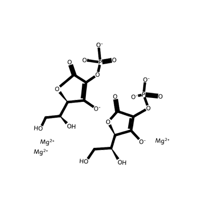 O=C1O[C@H]([C@@H](O)CO)C([O-])=C1OP(=O)([O-])[O-].O=C1O[C@H]([C@@H](O)CO)C([O-])=C1OP(=O)([O-])[O-].[Mg+2].[Mg+2].[Mg+2]